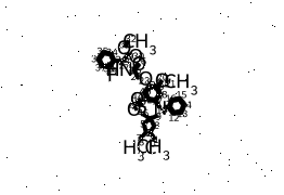 CCCCC1(CCCC)CN(c2ccccc2)c2cc(OC)c(OCC(=O)NC(C(=O)OC)c3ccccc3F)cc2S(=O)(=O)C1